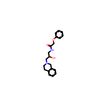 O=C(COc1ccccc1)NCC(O)CN1CCc2ccccc2C1